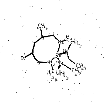 CCC1CC(C)CN(C)S(N(C)C)(N(C)C)N(C)C1